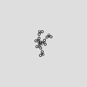 c1ccc2c(c1)oc1ccc(-c3ccc4c(c3)c3ccccc3n4-c3nc(-n4c5ccccc5c5cc(-c6ccc7oc8ccccc8c7c6)ccc54)nc(-n4c5ccccc5c5cc(-c6ccc7oc8ccccc8c7c6)ccc54)n3)cc12